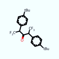 CC(C)(C)c1ccc(C(C(=O)C(c2ccc(C(C)(C)C)cc2)C(F)(F)F)C(F)(F)F)cc1